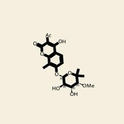 CO[C@@H]1[C@H](O)[C@@H](O)[C@H](Oc2ccc3c(O)c(C(C)=O)c(=O)oc3c2C)OC1(C)C